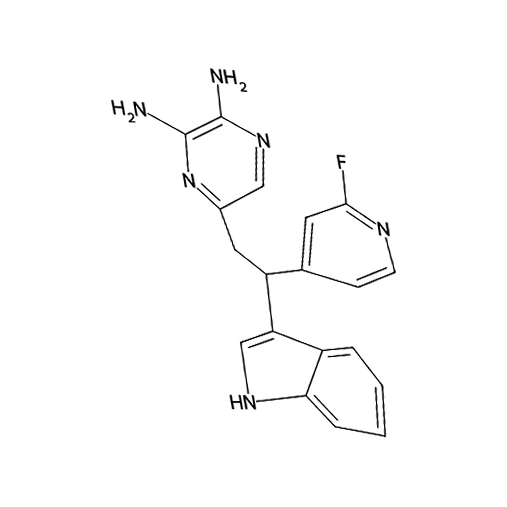 Nc1ncc(CC(c2ccnc(F)c2)c2c[nH]c3ccccc23)nc1N